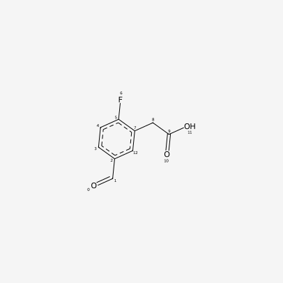 O=Cc1ccc(F)c(CC(=O)O)c1